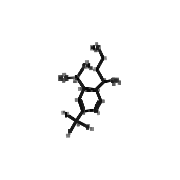 CCCC(C)c1cnc(C(F)(F)F)cc1N(C)C